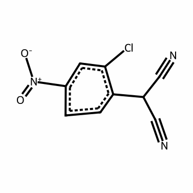 N#CC(C#N)c1ccc([N+](=O)[O-])cc1Cl